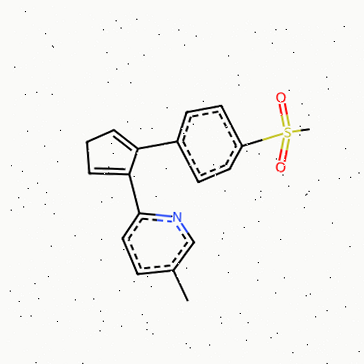 Cc1ccc(C2=CCC=C2c2ccc(S(C)(=O)=O)cc2)nc1